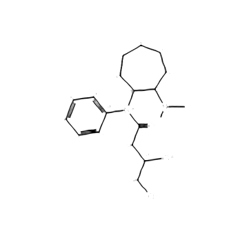 CN(C)C1CCCCCC1N(C(=O)CC(Cl)CCl)c1ccccc1